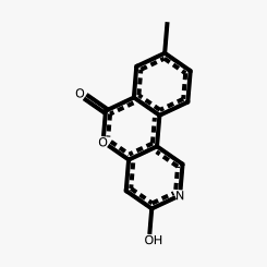 Cc1ccc2c(c1)c(=O)oc1cc(O)ncc12